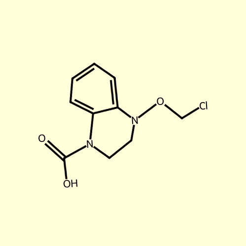 O=C(O)N1CCN(OCCl)c2ccccc21